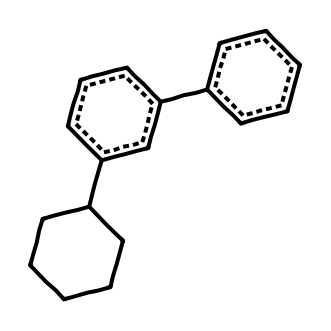 c1ccc(-c2cccc(C3CCCCC3)c2)cc1